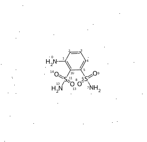 Nc1cccc(S(N)(=O)=O)c1S(N)(=O)=O